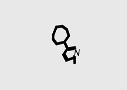 Cc1ccc(C2CCCCCCC2)cn1